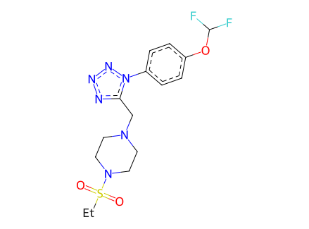 CCS(=O)(=O)N1CCN(Cc2nnnn2-c2ccc(OC(F)F)cc2)CC1